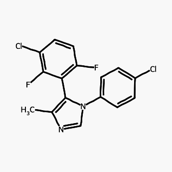 Cc1ncn(-c2ccc(Cl)cc2)c1-c1c(F)ccc(Cl)c1F